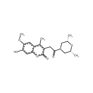 COc1cc2c(C)c(CC(=O)N3C[C@@H](C)O[C@@H](C)C3)c(=O)oc2cc1O